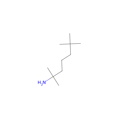 CC(C)(C)CCCC(C)(C)N